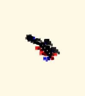 CN(C)c1cc(C#CCC(C)(N)Cc2ccccc2)c(O)c2c1C[C@H]1C[C@H]3[C@H](N(C)C)C(O)=C(C(N)=O)C4O[C@@]43C(O)=C1C2=O